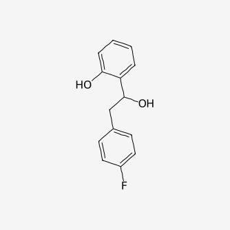 Oc1ccccc1C(O)Cc1ccc(F)cc1